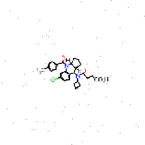 O=C(O)CCC(=O)N(C1CCC1)[C@H]1c2ccc(Cl)cc2N(C(=O)c2ccc(C(F)(F)F)cc2)[C@@H]2CCC[C@@H]21